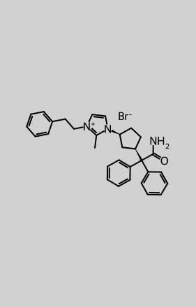 Cc1n([C@H]2CC[C@@H](C(C(N)=O)(c3ccccc3)c3ccccc3)C2)cc[n+]1CCc1ccccc1.[Br-]